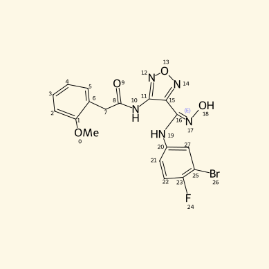 COc1ccccc1CC(=O)Nc1nonc1/C(=N\O)Nc1ccc(F)c(Br)c1